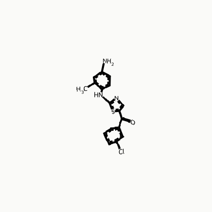 Cc1cc(N)ccc1Nc1ncc(C(=O)c2cccc(Cl)c2)s1